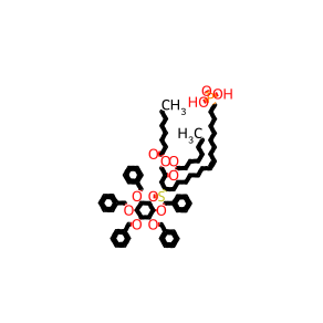 CCCCCCCC(=O)OCC(CC(CCCCCC/C=C\CCCCCCCCP(=O)(O)O)SO[C@@H]1[C@@H](OCc2ccccc2)[C@H](OCc2ccccc2)[C@@H](OCc2ccccc2)[C@H](OCc2ccccc2)[C@@H]1OCc1ccccc1)OC(=O)CCCCCCC